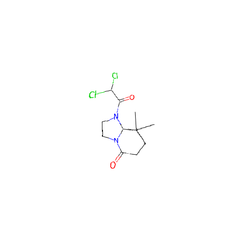 CC1(C)CCC(=O)N2CCN(C(=O)C(Cl)Cl)C21